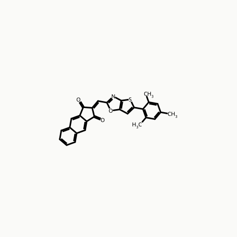 Cc1cc(C)c(-c2cc3oc(C=C4C(=O)c5cc6ccccc6cc5C4=O)nc3s2)c(C)c1